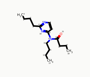 CCCCc1nccc(N(CCCC)C(=O)CCC)n1